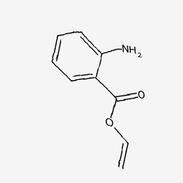 C=COC(=O)c1ccccc1N